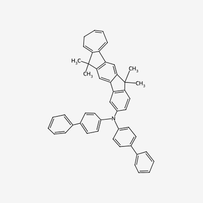 CC1(C)C2=CCC=CC=C2c2cc3c(cc21)-c1cc(N(c2ccc(-c4ccccc4)cc2)c2ccc(-c4ccccc4)cc2)ccc1C3(C)C